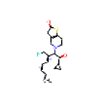 C=C/C=C\C=C(/CF)C(C(=O)C1CC1)N1CCC2=C(CC(=O)S2)C1